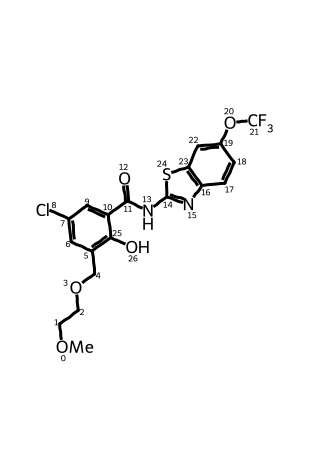 COCCOCc1cc(Cl)cc(C(=O)Nc2nc3ccc(OC(F)(F)F)cc3s2)c1O